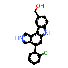 OCc1ccc2[nH]c3cc(-c4ccccc4Cl)c4c[nH]cc4c3c2c1